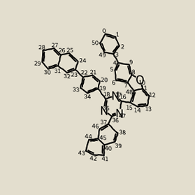 c1ccc(-c2ccc3c(c2)oc2cccc(-c4nc(-c5ccc(-c6ccc7ccccc7c6)cc5)nc(-c5ccc6ccccc6c5)n4)c23)cc1